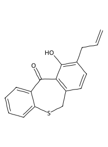 C=CCc1ccc2c(c1O)C(=O)c1ccccc1SC2